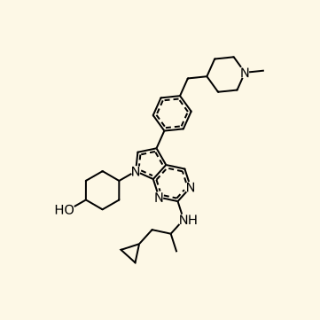 CC(CC1CC1)Nc1ncc2c(-c3ccc(CC4CCN(C)CC4)cc3)cn(C3CCC(O)CC3)c2n1